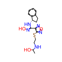 CC(O)NCCSc1nonc1/C(=N/O)N[C@H]1CCc2ccccc21